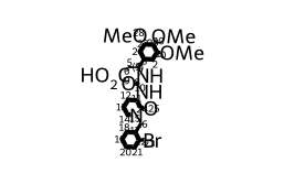 COc1cc([C@H](CC(=O)O)NC(=O)Nc2cccn(Cc3ccccc3Br)c2=O)cc(OC)c1OC